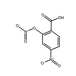 O=C(O)c1ccc([N+](=O)[O-])cc1O[N+](=O)[O-]